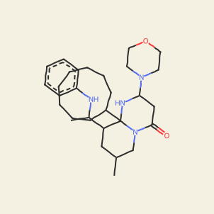 CC1CC(C(C)Nc2ccccc2)C2(C3CCCCCCCC3)NC(N3CCOCC3)CC(=O)N2C1